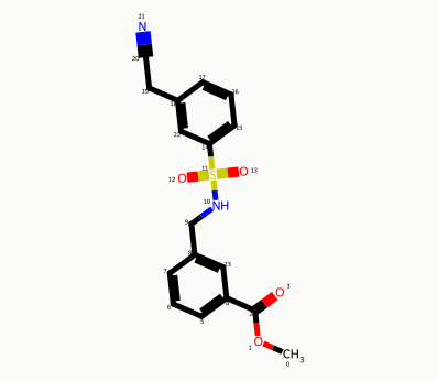 COC(=O)c1cccc(CNS(=O)(=O)c2cccc(CC#N)c2)c1